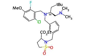 CCOC(=O)C1CCS(=O)(=O)N1Cc1cccc(CN(Cc2c(Cl)ccc(OC)c2F)[C@H](CN(C)C)CC(C)(C)C)c1